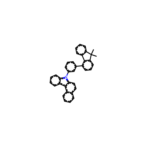 CC1(C)c2ccccc2-c2c(-c3cccc(-n4c5ccccc5c5c6ccccc6ccc54)c3)cccc21